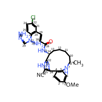 COc1ccc2c(c1)N[C@@H](C)CCCC[C@H](NC(=O)/C=C/c1cc(Cl)ccc1N(N)/C=N\N)c1nc-2c(C#N)[nH]1